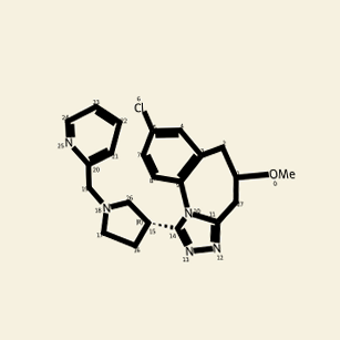 COC1Cc2cc(Cl)ccc2-n2c(nnc2[C@@H]2CCN(Cc3ccccn3)C2)C1